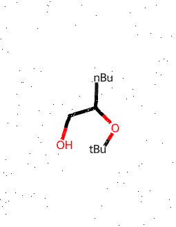 CCCCC(CO)OC(C)(C)C